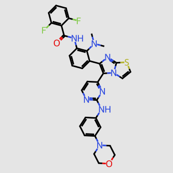 CN(C)c1c(NC(=O)c2c(F)cccc2F)cccc1-c1nc2sccn2c1-c1ccnc(Nc2cccc(N3CCOCC3)c2)n1